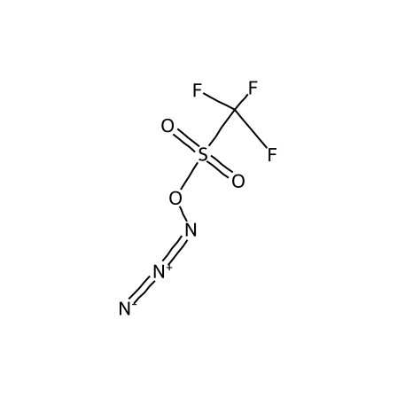 [N-]=[N+]=NOS(=O)(=O)C(F)(F)F